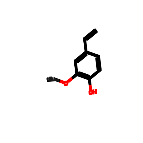 C=Cc1ccc(O)c(OC(C)(C)C)c1